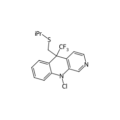 CC(C)SCC1(C(F)(F)F)c2ccccc2N(Cl)c2cnccc21